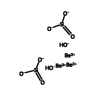 O=[Si]([O-])[O-].O=[Si]([O-])[O-].[Be+2].[Be+2].[Be+2].[OH-].[OH-]